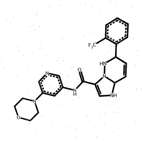 O=C(Nc1cncc(N2CCOCC2)c1)C1=CNC2C=CC(c3ccccc3C(F)(F)F)NN12